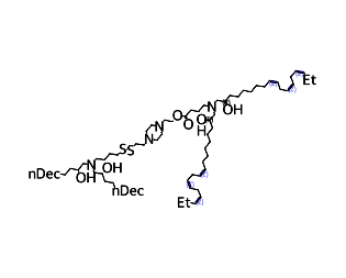 CC/C=C\C/C=C\C/C=C\CCCCCC[C@@H](O)CN(CCCC(=O)OCCN1CCN(CCSSCCCCN(CC(O)CCCCCCCCCCCC)CC(O)CCCCCCCCCCCC)CC1)C[C@H](O)CCCCCC/C=C\C/C=C\C/C=C\CC